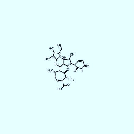 CN1C(=O)C(C(OC2OC(CN)C(O)C2O)C2OC(n3ccc(=O)[nH]c3=O)C(O)C2O)N(C)CC=C1C(=O)O